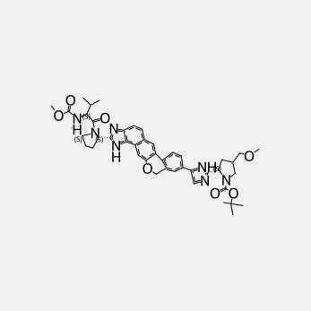 COCC1C[C@@H](c2ncc(-c3ccc4c(c3)COc3cc5c(ccc6nc([C@@H]7CC[C@H](C)N7C(=O)[C@@H](NC(=O)OC)C(C)C)[nH]c65)cc3-4)[nH]2)N(C(=O)OC(C)(C)C)C1